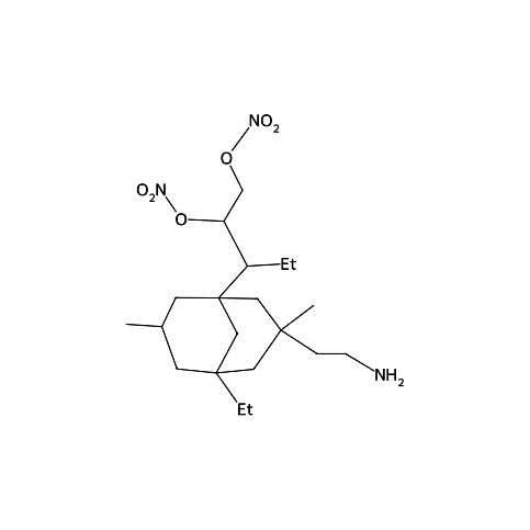 CCC(C(CO[N+](=O)[O-])O[N+](=O)[O-])C12CC(C)CC(CC)(CC(C)(CCN)C1)C2